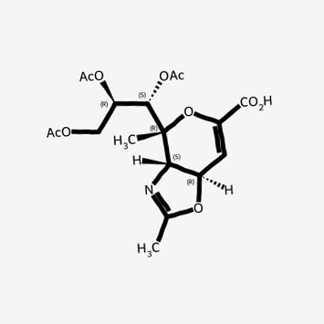 CC(=O)OC[C@@H](OC(C)=O)[C@H](OC(C)=O)[C@]1(C)OC(C(=O)O)=C[C@H]2OC(C)=N[C@@H]21